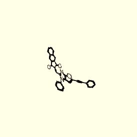 O=C1C(=Cc2nc3oc(C#Cc4ccccc4)cc3n2-c2ccccc2)C(=O)c2cc3ccccc3cc21